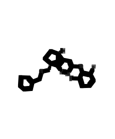 Fc1cccc(F)c1Oc1cc2c(nn1)[C@@]1(COCc3ccccc3)CC[C@@H]2C1